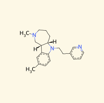 Cc1ccc2c(c1)[C@@H]1CN(C)CCC[C@@H]1N2CCc1cccnc1